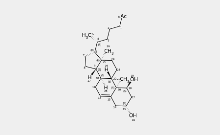 CC(=O)CCC[C@@H](C)[C@H]1CC[C@H]2[C@@H]3CC=C4C[C@@H](O)C[C@H](O)[C@]4(C)[C@H]3CC[C@]12C